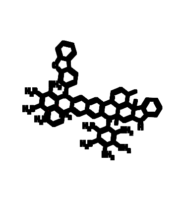 Bc1c(B)c(B)c(N(c2ccc3c(c2)oc2ccccc23)c2cc3cc4c(cc3cc2-c2ccccc2)N(c2c(B)c(B)c(B)c(B)c2B)C2(C)C=C3Bc5ccccc5C3(C)C3=C2C4(C)C=CC3C)c(B)c1B